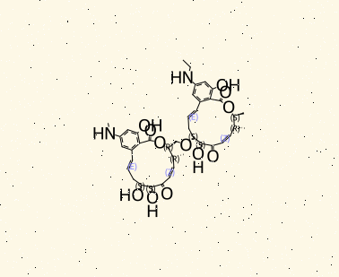 CCNc1cc(O)c2c(c1)/C=C/C[C@H](OC[C@@H]1OC(=O)c3c(O)cc(NC)cc3/C=C/C[C@H](O)[C@H](O)C(=O)/C=C\[C@H]1C)[C@H](O)C(=O)/C=C\[C@@H](C)[C@H](C)OC2=O